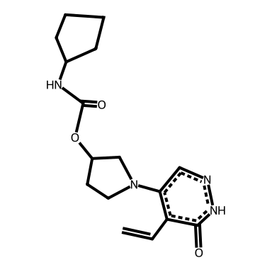 C=Cc1c(N2CCC(OC(=O)NC3CCCC3)C2)cn[nH]c1=O